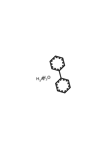 O.[AlH3].c1ccc(-c2ccccc2)cc1